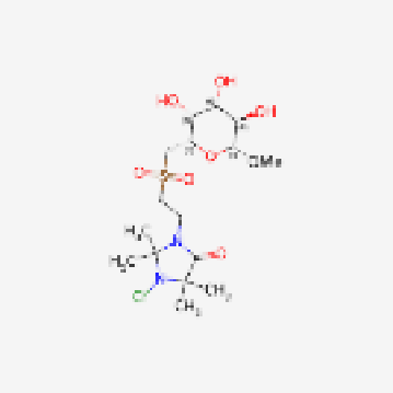 CO[C@@H]1O[C@H](CS(=O)(=O)CCN2C(=O)C(C)(C)N(Cl)C2(C)C)[C@H](O)[C@H](O)[C@H]1O